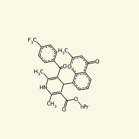 CCCOC(=O)C1=C(C)NC(C)=C(C(=O)c2ccc(C(F)(F)F)cc2)C1c1cccc2c(=O)cc(C)oc12